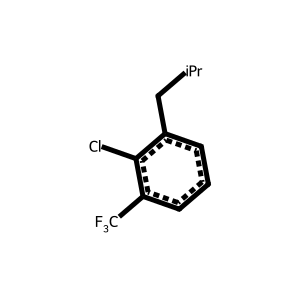 CC(C)Cc1cccc(C(F)(F)F)c1Cl